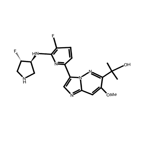 COc1cc2ncc(-c3ccc(F)c(N[C@H]4CNC[C@@H]4F)n3)n2nc1C(C)(C)O